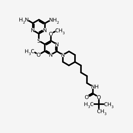 COc1nc(N2CCC(CCCCNC(=O)OC(C)(C)C)CC2)nc(OC)c1Sc1nc(N)cc(N)n1